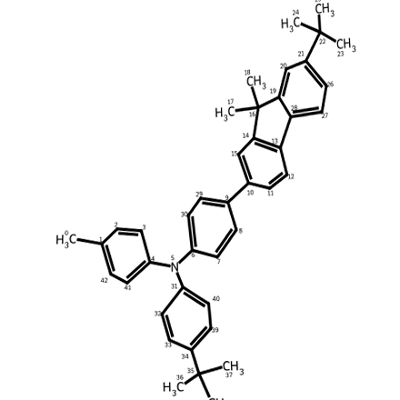 Cc1ccc(N(c2ccc(-c3ccc4c(c3)C(C)(C)c3cc(C(C)(C)C)ccc3-4)cc2)c2ccc(C(C)(C)C)cc2)cc1